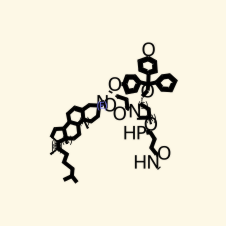 CNC(=O)CCC(=P)O[C@@H]1C[C@@H](COC(c2ccccc2)(c2ccc(OC)cc2)c2ccc(OC)cc2)N(C(=O)CCO/N=C2\CC[C@@]3(C)C(=CCC4C3CC[C@@]3(C)C4CC[C@@H]3[C@H](C)CCCC(C)C)C2)C1